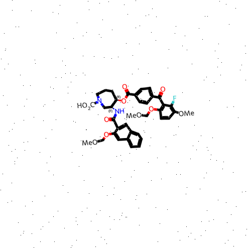 COCOc1cc2ccccc2cc1C(=O)N[C@@H]1CN(C(=O)O)CCC[C@H]1OC(=O)c1ccc(C(=O)c2c(OCOC)ccc(OC)c2F)cc1